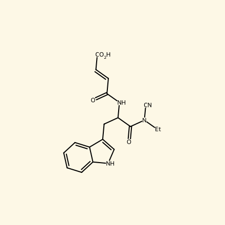 CCN(C#N)C(=O)C(Cc1c[nH]c2ccccc12)NC(=O)C=CC(=O)O